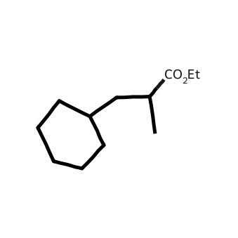 CCOC(=O)C(C)CC1CCCCC1